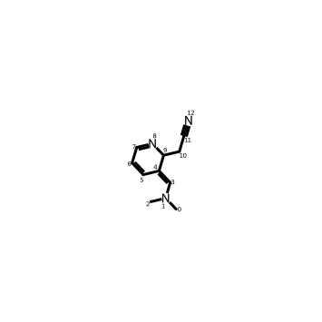 CN(C)C=C1C=CC=NC1CC#N